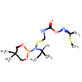 CSC(C)=NOC(=O)NCSN(P1OCC(C)(C)CO1)C(C)(C)C